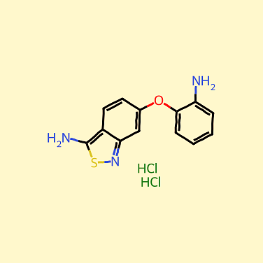 Cl.Cl.Nc1ccccc1Oc1ccc2c(N)snc2c1